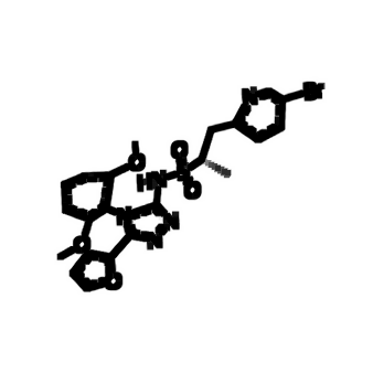 COc1cccc(OC)c1-n1c(NS(=O)(=O)[C@@H](C)Cc2ccc(Br)cn2)nnc1-c1ccco1